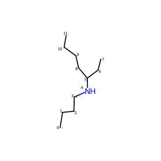 [CH2]CC[CH]NC(CC)CCCC